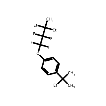 CCC(C)(C)c1ccc(OC(F)(F)C(F)(F)C(C)(CC)CC)cc1